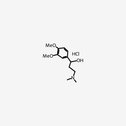 COc1ccc(C(O)CCN(C)C)cc1OC.Cl